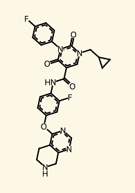 O=C(Nc1ccc(Oc2ncnc3c2CCNC3)cc1F)c1cn(CC2CC2)c(=O)n(-c2ccc(F)cc2)c1=O